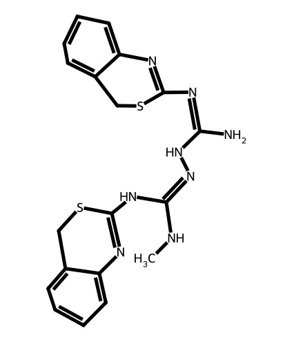 CNC(=NNC(N)=NC1=Nc2ccccc2CS1)NC1=Nc2ccccc2CS1